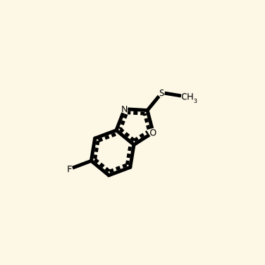 CSc1nc2cc(F)ccc2o1